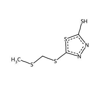 CSCSc1nnc(S)s1